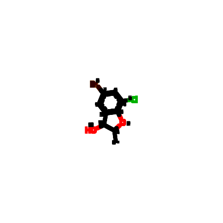 [CH2]C1Oc2c(Cl)cc(Br)cc2C1O